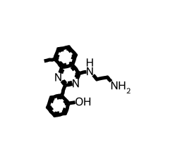 Cc1cccc2c(NCCN)nc(-c3ccccc3O)nc12